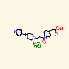 Cl.Cl.O=C(O)CC1CCN(C(=O)CCN2CCN(c3ccncc3)CC2)CC1